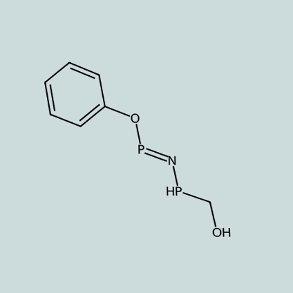 OCPN=POc1ccccc1